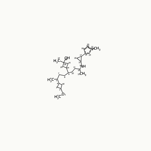 COC1CC(C(C)CCC(CCC(C)NC2CC2c2cnn(C)c2)C2CC(C)(O)C2)C1